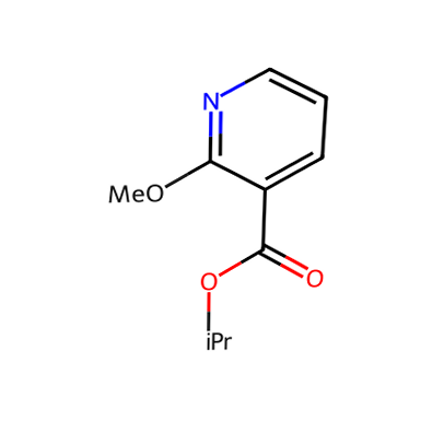 COc1ncccc1C(=O)OC(C)C